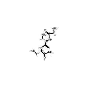 C=C(N[C@@H](CC(C)(C)C)C(N)=O)[C@H](CC(C)(C)C)NC(=O)OC(C)(C)C